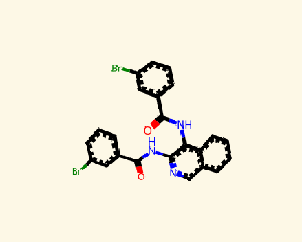 O=C(Nc1ncc2ccccc2c1NC(=O)c1cccc(Br)c1)c1cccc(Br)c1